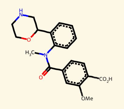 COc1cc(C(=O)N(C)c2ccccc2C2CNCCO2)ccc1C(=O)O